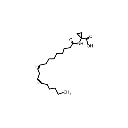 CCCCC/C=C\C/C=C\CCCCCCCC(=O)NC1(C(=O)O)CC1